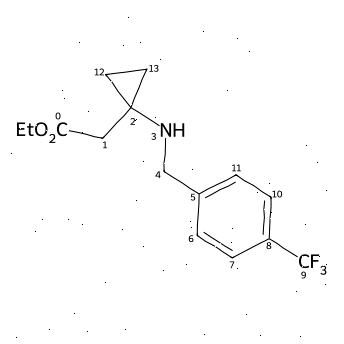 CCOC(=O)CC1(NCc2ccc(C(F)(F)F)cc2)CC1